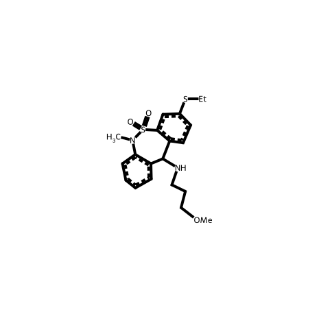 CCSc1ccc2c(c1)S(=O)(=O)N(C)c1ccccc1C2NCCCOC